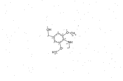 COc1cc(CO)cc(OC)c1NI